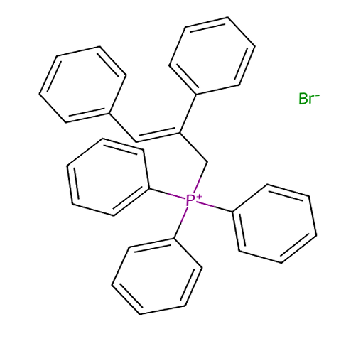 C(=C(\C[P+](c1ccccc1)(c1ccccc1)c1ccccc1)c1ccccc1)/c1ccccc1.[Br-]